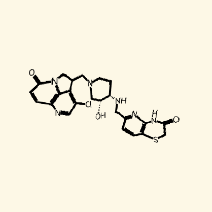 O=C1CSc2ccc(CN[C@H]3CCN(CC4Cn5c(=O)ccc6ncc(Cl)c4c65)C[C@H]3O)nc2N1